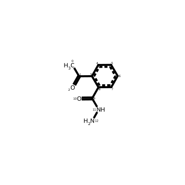 CC(=O)c1ccccc1C(=O)NN